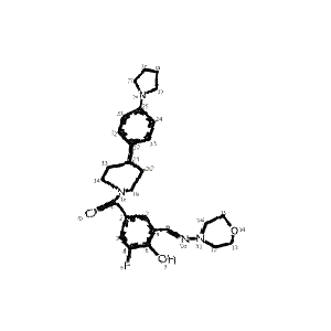 O=C(c1cc(F)c(O)c(C=NN2CCOCC2)c1)N1CCC(c2ccc(N3CCCC3)cc2)CC1